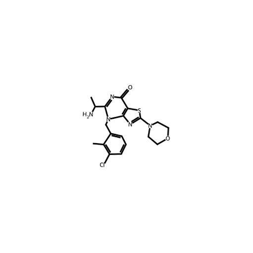 Cc1c(Cl)cccc1Cn1c(C(C)N)nc(=O)c2sc(N3CCOCC3)nc21